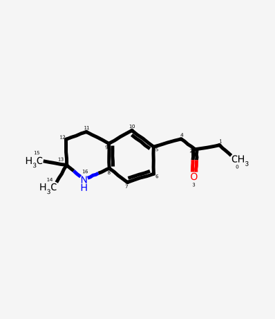 CCC(=O)Cc1ccc2c(c1)CCC(C)(C)N2